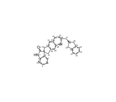 O=C1Nc2ncccc2C12Cc1cc3ccc(CN4Cc5ccccc5C4)nc3cc1C2